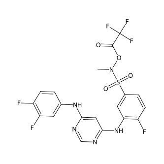 CN(OC(=O)C(F)(F)F)S(=O)(=O)c1ccc(F)c(Nc2cc(Nc3ccc(F)c(F)c3)ncn2)c1